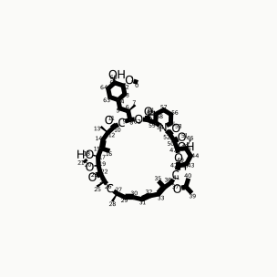 CO[C@@H]1CC(C[C@@H](C)C2CC(=O)[C@H](C)/C=C(\C)[C@@H](O)[C@@H](OC)C(=O)[C@H](C)C[C@H](C)/C=C/C=C/C=C(\C)[C@@H](OC(C)C)C[C@@H]3CC[C@@H](C)[C@@](O)(O3)C(=O)C(=O)N3CCCC[C@H]3C(=O)O2)CC[C@H]1O